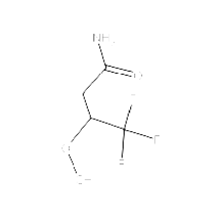 COC(CC(N)=O)C(F)(F)F